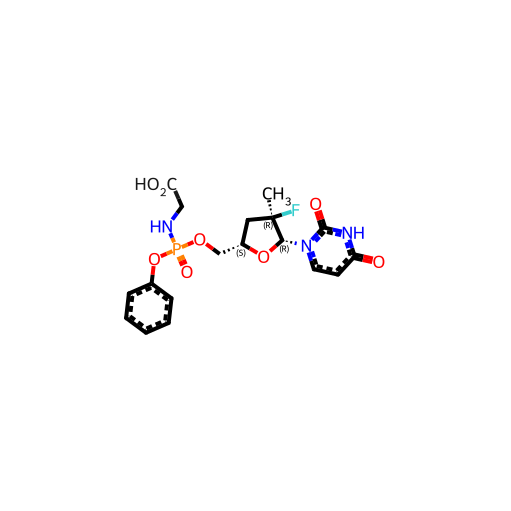 C[C@@]1(F)C[C@@H](COP(=O)(NCC(=O)O)Oc2ccccc2)O[C@H]1n1ccc(=O)[nH]c1=O